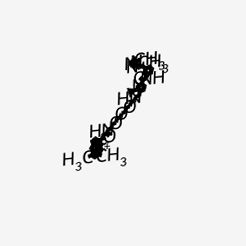 CC1=CC(C)=[N+]2C1=Cc1ccc(CCC(=O)NCCOCCOCCOCCNCc3ccc(C(=O)Nc4cccc([C@H](C)Cc5nncn5C)c4)nc3C3CC3)n1[B-]2(F)F